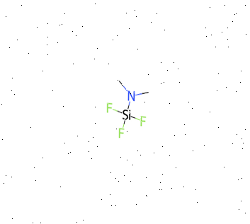 CN(C)[Si](F)(F)F